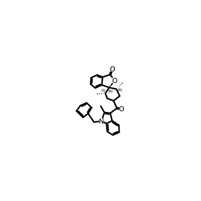 Cc1c(C(=O)C2C[C@@H](C)[C@]3(OC(=O)c4ccccc43)[C@@H](C)C2)c2ccccc2n1Cc1ccccc1